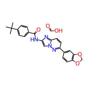 CC(C)(C)c1ccc(C(=O)Nc2cn3nc(-c4ccc5c(c4)OCO5)ccc3n2)cc1.O=CO